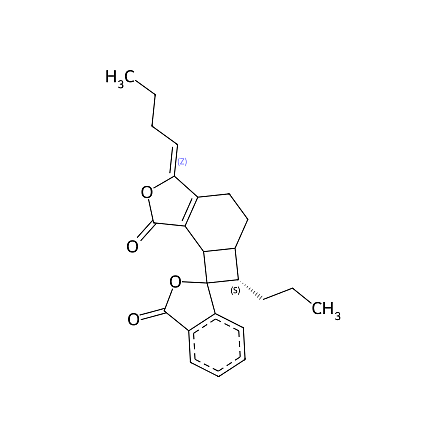 CCC/C=C1\OC(=O)C2=C1CCC1C2C2(OC(=O)c3ccccc32)[C@H]1CCC